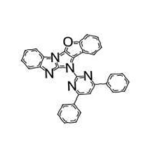 c1ccc(-c2cc(-c3ccccc3)nc(-n3c4c5ccccc5oc4n4c5ccccc5nc34)n2)cc1